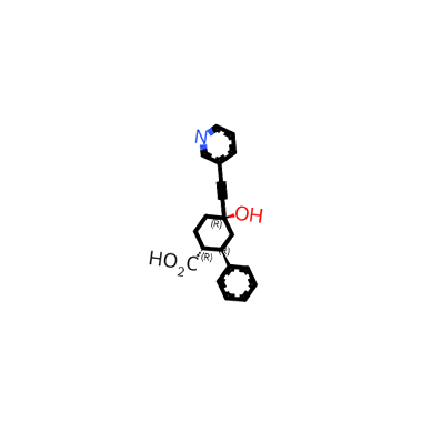 O=C(O)[C@@H]1CC[C@](O)(C#Cc2cccnc2)C[C@H]1c1ccccc1